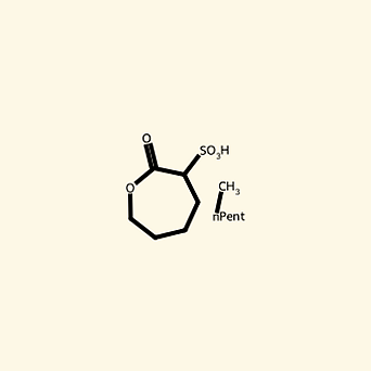 CCCCCC.O=C1OCCCCC1S(=O)(=O)O